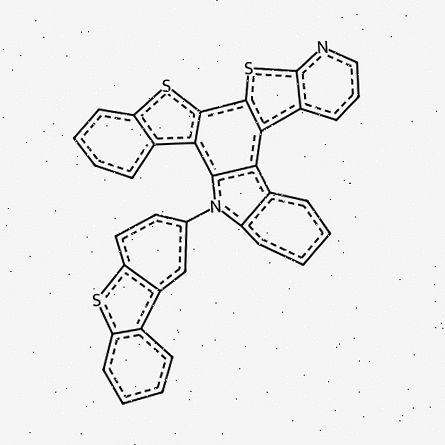 c1ccc2c(c1)sc1ccc(-n3c4ccccc4c4c5c6cccnc6sc5c5sc6ccccc6c5c43)cc12